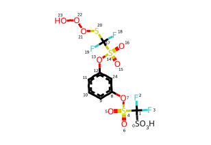 O=S(=O)(O)C(F)(F)S(=O)(=O)Oc1cccc(OS(=O)(=O)C(F)(F)SOOO)c1